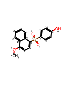 COc1ccc(S(=O)(=O)c2ccc(O)cc2)c2ccccc12